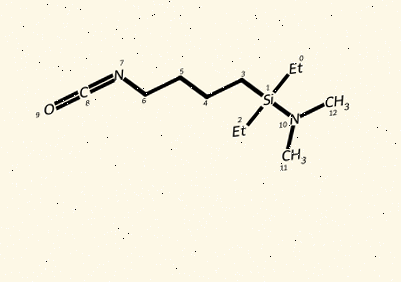 CC[Si](CC)(CCCCN=C=O)N(C)C